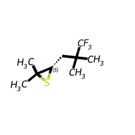 CC1(C)S[C@H]1CC(C)(C)C(F)(F)F